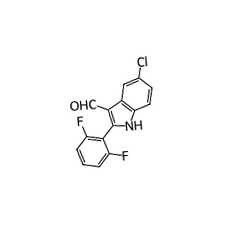 O=Cc1c(-c2c(F)cccc2F)[nH]c2ccc(Cl)cc12